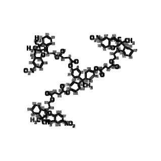 CC(c1ccc(OC(=O)CCC(=O)OCCN2c3ccccc3C(C)(C)C23C=Cc2cc([N+](=O)[O-])ccc2O3)cc1)(c1ccc(OC(=O)CCC(=O)OCCN2c3ccccc3C(C)(C)C23C=Cc2cc([N+](=O)[O-])ccc2O3)cc1)c1ccc(OC(=O)CCC(=O)OCCN2c3ccccc3C(C)(C)C23C=Cc2cc([N+](=O)[O-])ccc2O3)cc1